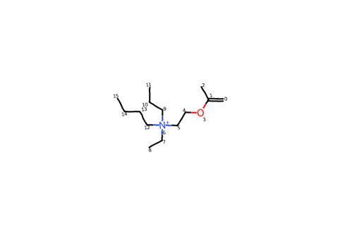 C=C(C)OCC[N+](CC)(CCC)CCCC